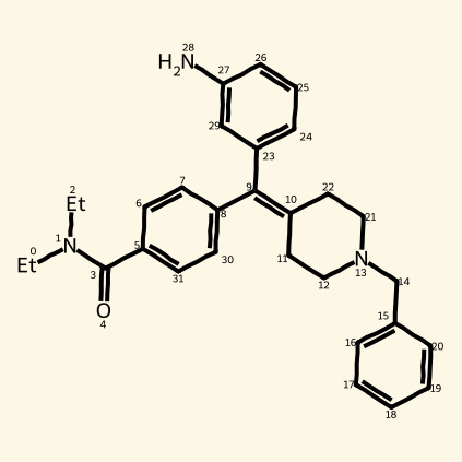 CCN(CC)C(=O)c1ccc(C(=C2CCN(Cc3ccccc3)CC2)c2cccc(N)c2)cc1